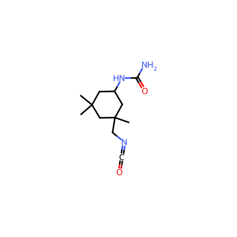 CC1(C)CC(NC(N)=O)CC(C)(CN=C=O)C1